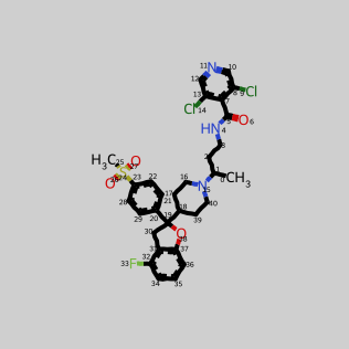 CC(CCNC(=O)c1c(Cl)cncc1Cl)N1CCC(C2(c3ccc(S(C)(=O)=O)cc3)Cc3c(F)cccc3O2)CC1